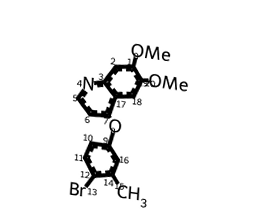 COc1cc2nccc(Oc3ccc(Br)c(C)c3)c2cc1OC